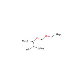 CCCCCCCCOCOC(OC)=C(CCC)OC